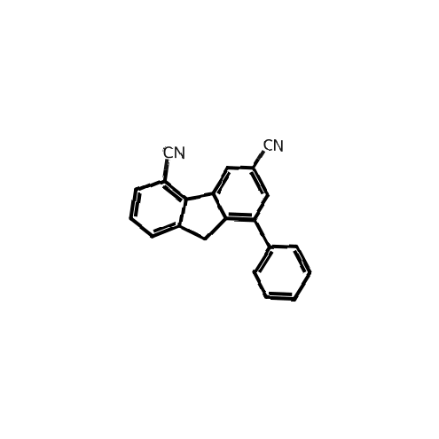 N#Cc1cc(-c2ccccc2)c2c(c1)-c1c(C#N)cccc1C2